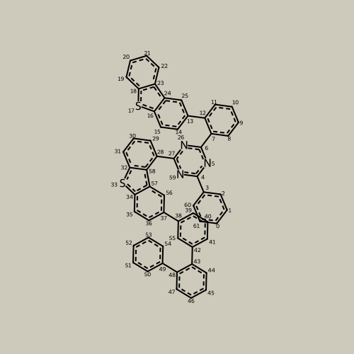 c1ccc(-c2nc(-c3ccccc3-c3ccc4sc5ccccc5c4c3)nc(-c3cccc4sc5ccc(-c6cccc(-c7ccccc7-c7ccccc7)c6)cc5c34)n2)cc1